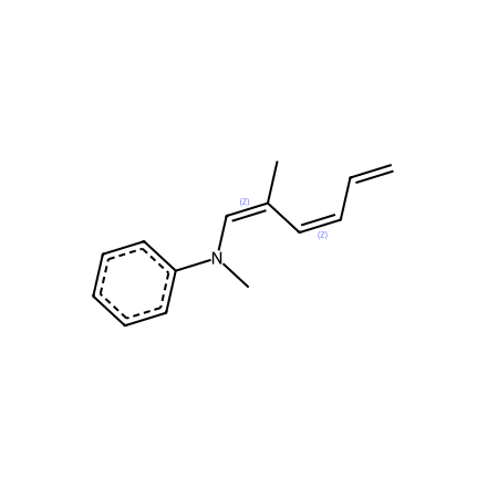 C=C/C=C\C(C)=C/N(C)c1ccccc1